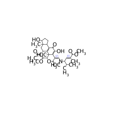 COCC1OC(=O)/C(=C\N(C)C(/C=C(\C)C(=O)OC)C(C)C)C2=C(O)C(=O)C3=C(C(OC(C)=O)CC4(C)C(O)CCC34)C21C